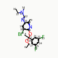 CCOC(C)(Oc1nc(C)c(N=CN(C)CC)cc1Br)c1cc(F)cc(F)c1